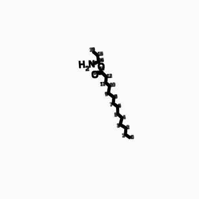 CCCCCCCCCCCCCC(=O)OC(N)CC